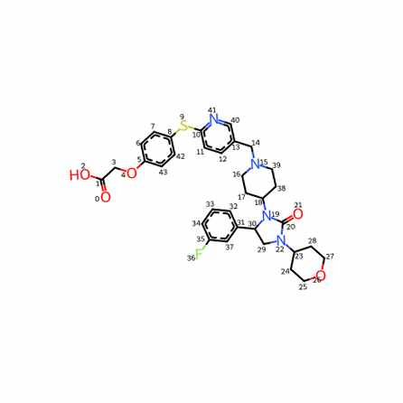 O=C(O)COc1ccc(Sc2ccc(CN3CCC(N4C(=O)N(C5CCOCC5)CC4c4cccc(F)c4)CC3)cn2)cc1